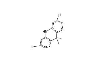 CC1(C)c2ccc(Cl)cc2Nc2cc(Cl)ccc21